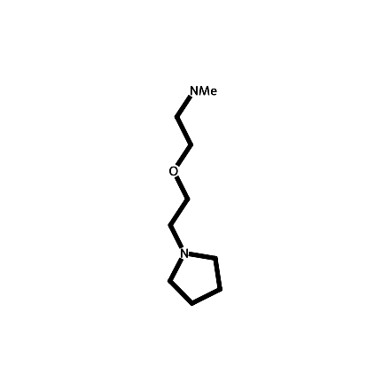 CNCCOCCN1CCCC1